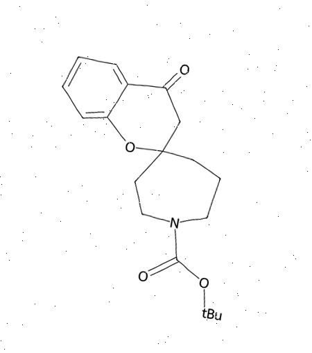 CC(C)(C)OC(=O)N1CCCC2(CC1)CC(=O)c1ccccc1O2